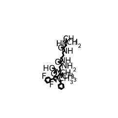 C=C(C)NCC(=O)NCCCNC(=O)[C@@H](N)CCN(C(=O)CO)[C@@H](c1cc(-c2cc(F)ccc2F)cn1Cc1ccccc1)C(C)(C)C